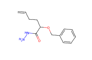 C=CCCC(OCc1ccccc1)C(=O)NN